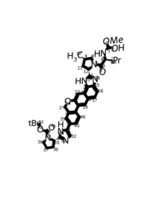 COC(O)N[C@H](C(=O)N1C[C@@H](C)C[C@H]1c1nc2ccc3cc4c(cc3c2[nH]1)OCc1cc(-c2cnc([C@@H]3CCCN3C(=O)OC(C)(C)C)[nH]2)ccc1-4)C(C)C